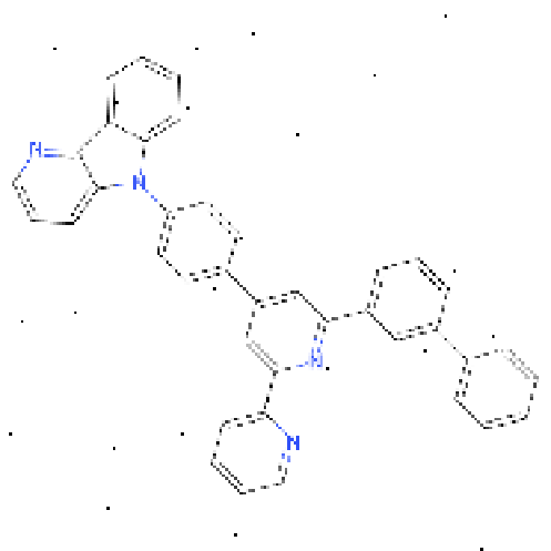 c1ccc(-c2cccc(-c3cc(-c4ccc(-n5c6ccccc6c6ncccc65)cc4)cc(-c4ccccn4)n3)c2)cc1